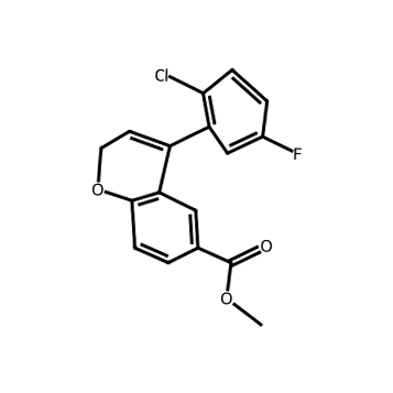 COC(=O)c1ccc2c(c1)C(c1cc(F)ccc1Cl)=CCO2